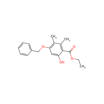 CCOC(=O)c1c(O)cc(OCc2ccccc2)c(C)c1C